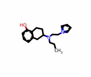 CCCN(CCn1cccc1)C1CCc2c(O)cccc2C1